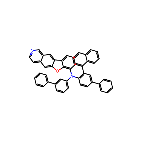 c1ccc(-c2cccc(N(c3ccc(-c4ccccc4)cc3-c3cccc4ccccc34)c3cccc4c3oc3cc5ccncc5cc34)c2)cc1